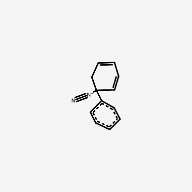 N#[N+]C1(c2ccccc2)C=CC=CC1